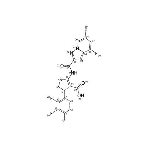 Cc1ccc(C2CSC(NC(=O)c3cc4c(F)cc(F)cn4n3)=C2C(=O)O)c(F)c1F